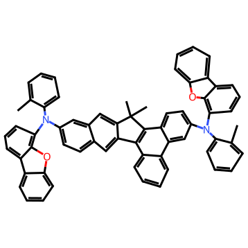 Cc1ccccc1N(c1ccc2cc3c(cc2c1)C(C)(C)c1c-3c2ccccc2c2cc(N(c3ccccc3C)c3cccc4c3oc3ccccc34)ccc12)c1cccc2c1oc1ccccc12